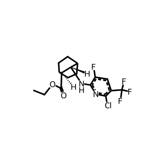 CCOC(=O)[C@H]1C2CCC(CC2)[C@@H]1Nc1nc(Cl)c(C(F)(F)F)cc1F